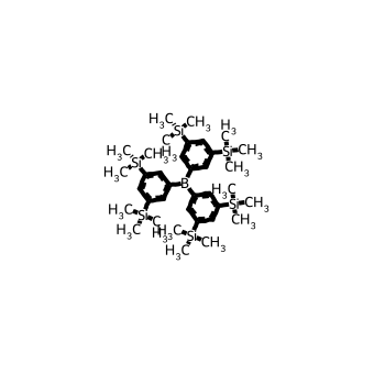 C[Si](C)(C)c1cc(B(c2cc([Si](C)(C)C)cc([Si](C)(C)C)c2)c2cc([Si](C)(C)C)cc([Si](C)(C)C)c2)cc([Si](C)(C)C)c1